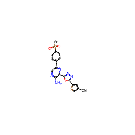 CC(C)S(=O)(=O)c1ccc(-c2cnc(N)c(-c3nnc(-c4cc(C#N)cs4)o3)n2)cc1